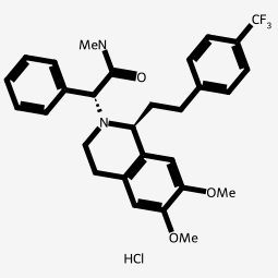 CNC(=O)[C@@H](c1ccccc1)N1CCc2cc(OC)c(OC)cc2[C@@H]1CCc1ccc(C(F)(F)F)cc1.Cl